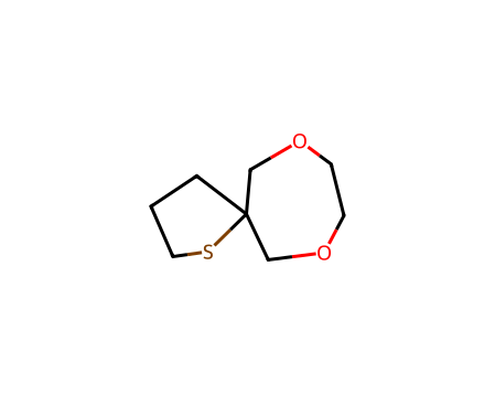 C1CSC2(C1)COCCOC2